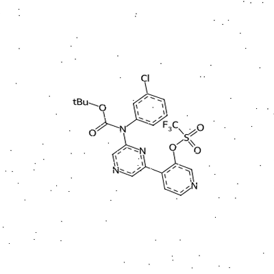 CC(C)(C)OC(=O)N(c1cccc(Cl)c1)c1cncc(-c2ccncc2OS(=O)(=O)C(F)(F)F)n1